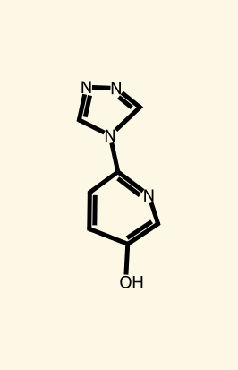 Oc1ccc(-n2cnnc2)nc1